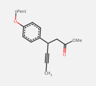 CC#CC(CC(=O)OC)c1ccc(OCCCCC)cc1